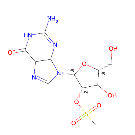 CS(=O)(=O)O[C@H]1C(O)[C@@H](CO)O[C@H]1N1C=NC2C(=O)NC(N)=NC21